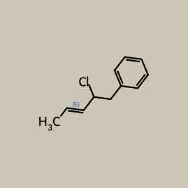 C/C=C/C(Cl)Cc1ccccc1